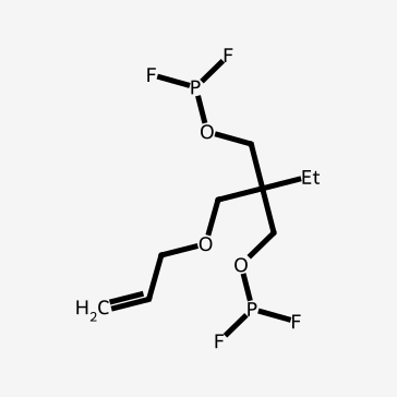 C=CCOCC(CC)(COP(F)F)COP(F)F